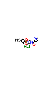 Cc1ccc(C(=O)N2CCN(S(=O)(=O)c3ccc(C#N)cc3C)[C@@H](C)C2)cn1.Cl